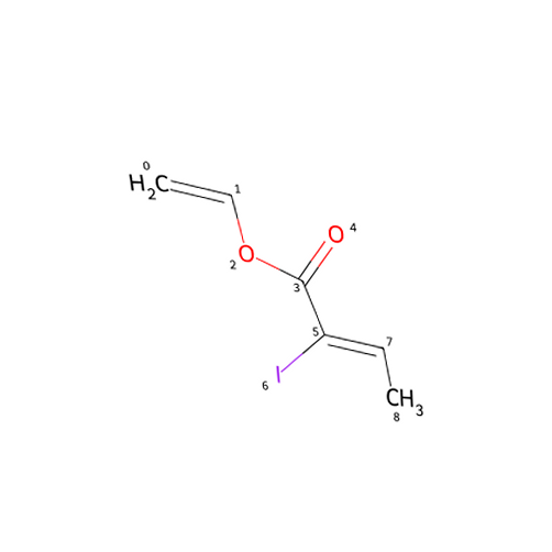 C=COC(=O)C(I)=CC